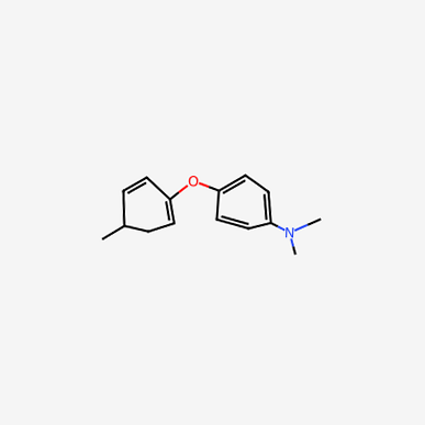 CC1C=CC(Oc2ccc(N(C)C)cc2)=CC1